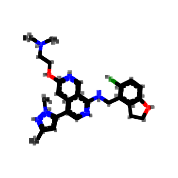 Cc1cc(-c2cnc(NCc3c(F)ccc4c3CCO4)c3cnc(OCCN(C)C)cc23)n(C)n1